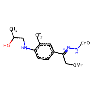 COC/C(=N\NC=O)c1ccc(NCC(C)O)c(C(F)(F)F)c1